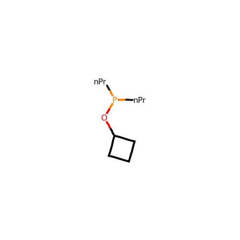 CCCP(CCC)OC1CCC1